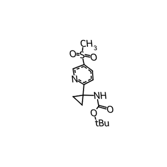 CC(C)(C)OC(=O)NC1(c2ccc(S(C)(=O)=O)cn2)CC1